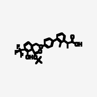 Cc1c(-c2ccc(OCc3ccc(C(F)(F)F)c(O)c3C(=O)OC(C)(C)C)cc2)cccc1C(C)C(=O)O